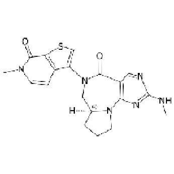 CNc1ncc2c(n1)N1CCC[C@H]1CN(c1csc3c(=O)n(C)ccc13)C2=O